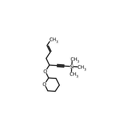 CC=CCC(C#C[Si](C)(C)C)OC1CCCCO1